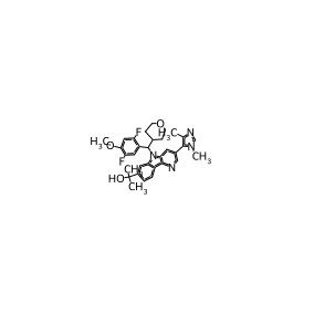 COc1cc(F)c(C(C2CCOCC2)n2c3cc(C(C)(C)O)ccc3c3ncc(-c4c(C)ncn4C)cc32)cc1F